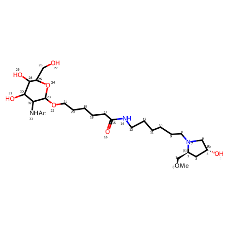 COC[C@@H]1C[C@@H](O)CN1CCCCCCNC(=O)CCCCCOC1OC(CO)C(O)C(O)C1NC(C)=O